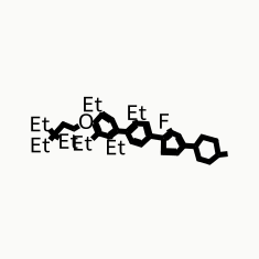 CCc1cc(-c2ccc(C3CCC(C)CC3)cc2F)ccc1-c1cc(CC)c(OCCC(CC)(CC)CC)c(CC)c1CC